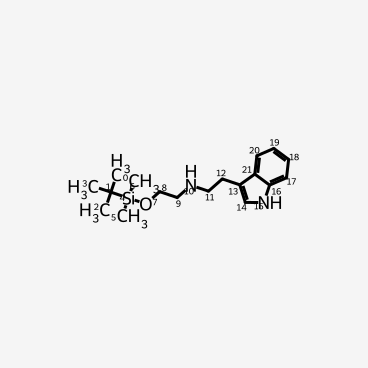 CC(C)(C)[Si](C)(C)OCCNCCc1c[nH]c2ccccc12